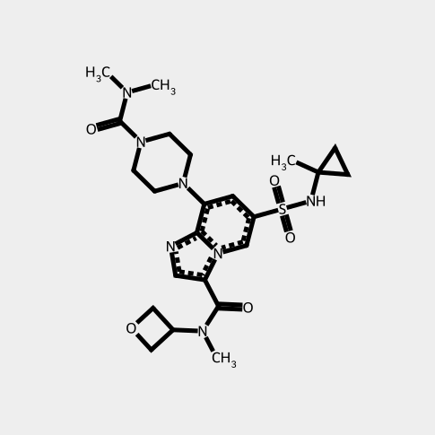 CN(C)C(=O)N1CCN(c2cc(S(=O)(=O)NC3(C)CC3)cn3c(C(=O)N(C)C4COC4)cnc23)CC1